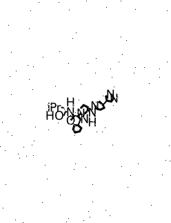 CC(C)C[C@@H](CO)NC(=O)c1c(-c2ccccc2)nc2c(Nc3ccc(-c4cnn(C)c4)cn3)cccn12